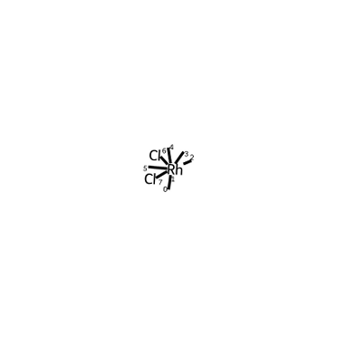 [CH3][Rh]([CH3])([CH3])([CH3])([CH3])([Cl])[Cl]